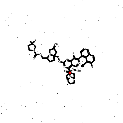 C#Cc1c(F)ccc2cccc(-c3ncc4c(N5CC6CCC(C5)N6C(=O)OC(C)(C)C)nc(OCC56CCC(COC(=O)N7CCC(F)(F)C7)N5CC(=C)C6)nc4c3F)c12